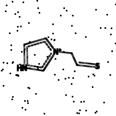 S=CC[n+]1cc[nH]c1